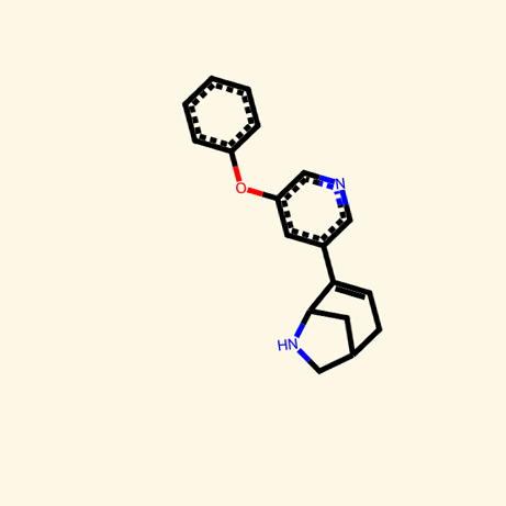 C1=C(c2cncc(Oc3ccccc3)c2)C2CC(C1)CN2